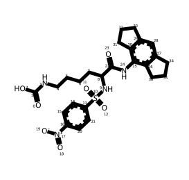 O=C(O)NCCCCC(NS(=O)(=O)c1ccc([N+](=O)[O-])cc1)C(=O)Nc1c2c(cc3c1CCC3)CCC2